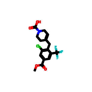 COC(=O)c1cc(Cl)c(CC2=CCN(C(=O)O)CC2)c(C(F)(F)F)c1